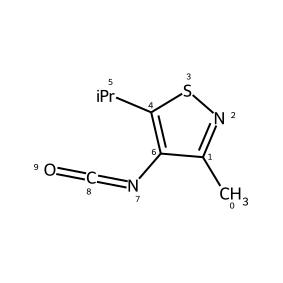 Cc1nsc(C(C)C)c1N=C=O